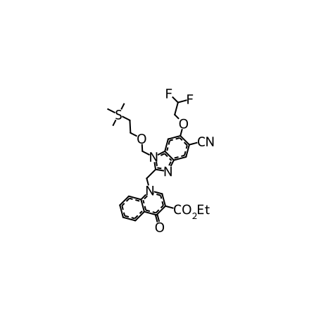 CCOC(=O)c1cn(Cc2nc3cc(C#N)c(OCC(F)F)cc3n2COCCS(C)(C)C)c2ccccc2c1=O